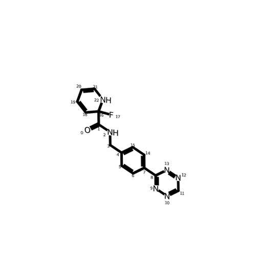 O=C(NCc1ccc(-c2nncnn2)cc1)C1(F)C=CC=CN1